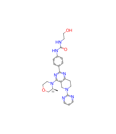 C[C@H]1COCCN1c1nc(-c2ccc(NC(=O)NCCO)cc2)nc2c1CN(c1ncccn1)CC2